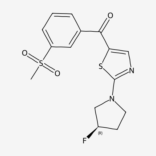 CS(=O)(=O)c1cccc(C(=O)c2cnc(N3CC[C@@H](F)C3)s2)c1